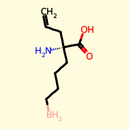 BCCCC[C@@](N)(CC=C)C(=O)O